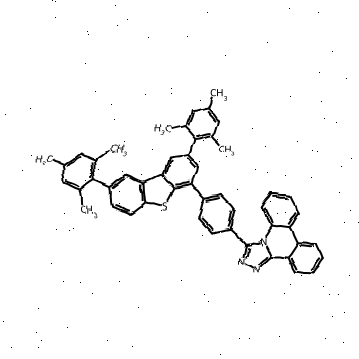 Cc1cc(C)c(-c2ccc3sc4c(-c5ccc(-c6nnc7c8ccccc8c8ccccc8n67)cc5)cc(-c5c(C)cc(C)cc5C)cc4c3c2)c(C)c1